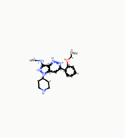 CCCNc1nn(C2CCNCC2)c2cc(-c3ccccc3OCOC)nnc12